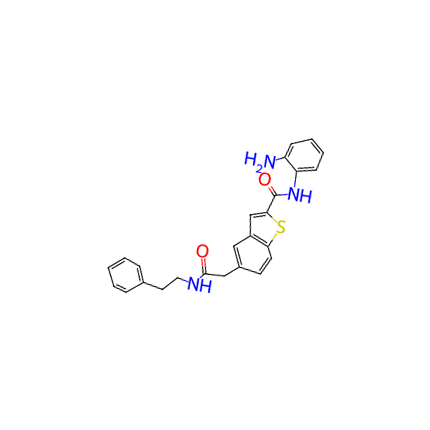 Nc1ccccc1NC(=O)c1cc2cc(CC(=O)NCCc3ccccc3)ccc2s1